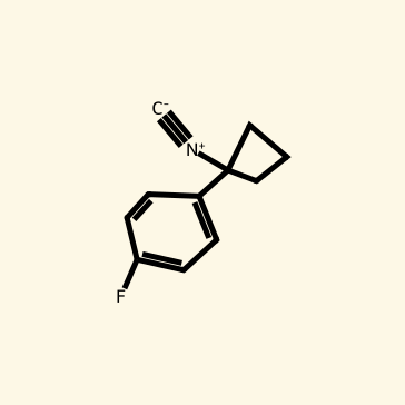 [C-]#[N+]C1(c2ccc(F)cc2)CCC1